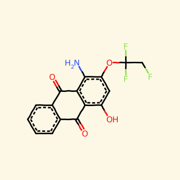 Nc1c(OC(F)(F)CF)cc(O)c2c1C(=O)c1ccccc1C2=O